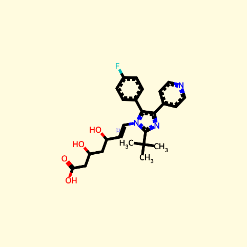 CC(C)(C)c1nc(-c2ccncc2)c(-c2ccc(F)cc2)n1/C=C/C(O)CC(O)CC(=O)O